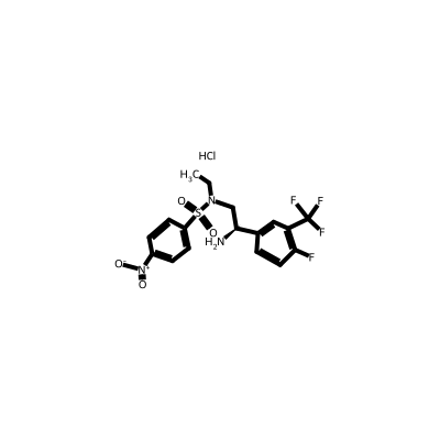 CCN(C[C@H](N)c1ccc(F)c(C(F)(F)F)c1)S(=O)(=O)c1ccc([N+](=O)[O-])cc1.Cl